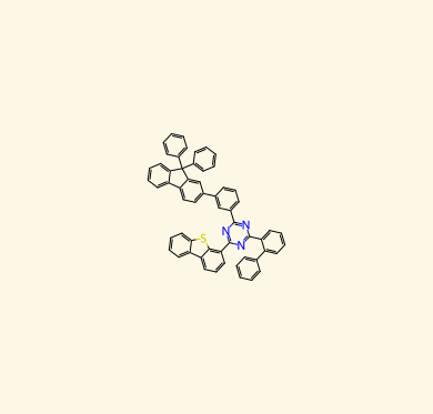 c1ccc(-c2ccccc2-c2nc(-c3cccc(-c4ccc5c(c4)C(c4ccccc4)(c4ccccc4)c4ccccc4-5)c3)nc(-c3cccc4c3sc3ccccc34)n2)cc1